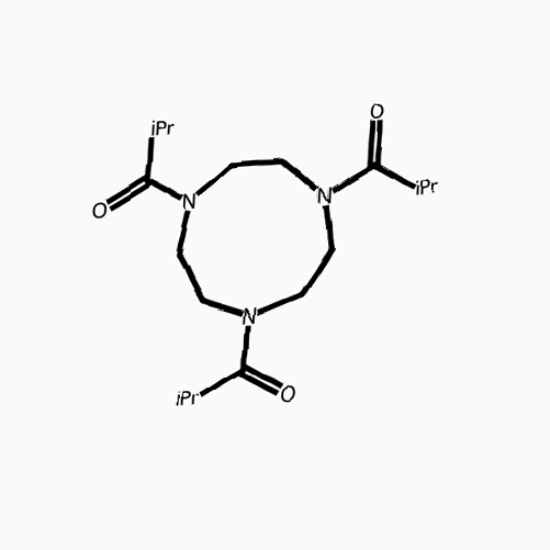 CC(C)C(=O)N1CCN(C(=O)C(C)C)CCN(C(=O)C(C)C)CC1